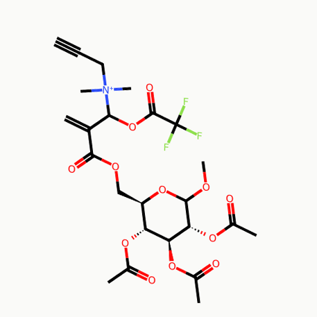 C#CC[N+](C)(C)C(OC(=O)C(F)(F)F)C(=C)C(=O)OC[C@H]1OC(OC)[C@H](OC(C)=O)[C@@H](OC(C)=O)[C@@H]1OC(C)=O